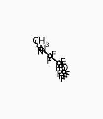 CCCCc1cnc(C#CC2=CC(F)C(C#CC3=CC(F)C(C(F)(F)Oc4cc(F)c(C(F)(F)F)c(F)c4)C(F)=C3)C(F)=C2)nc1